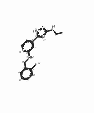 CCNc1n[nH]c(-c2ccnc(NCc3ccccc3F)c2)n1